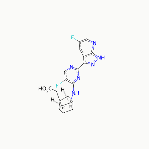 O=C(O)C[C@@H]1C2CCC(CC2)[C@@H]1Nc1nc(-c2n[nH]c3ncc(F)cc23)ncc1F